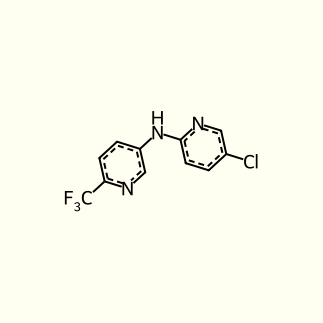 FC(F)(F)c1ccc(Nc2ccc(Cl)cn2)cn1